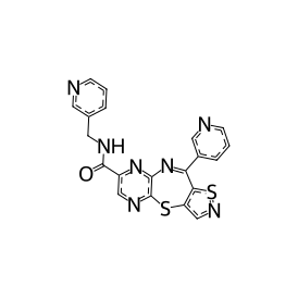 O=C(NCc1cccnc1)c1cnc2c(n1)N=C(c1cccnc1)c1sncc1S2